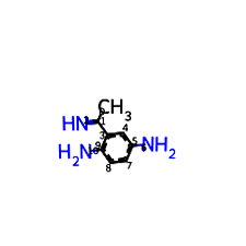 CC(=N)c1cc(N)ccc1N